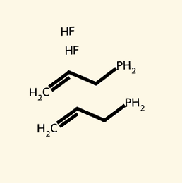 C=CCP.C=CCP.F.F